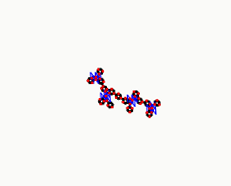 c1ccc(-c2nc(-n3c4ccccc4c4cc(-c5ccc6c(c5)n5c7ccccc7nc5n6-c5ccccc5)ccc43)nc3cc(-c4ccc(-c5ccc6c7cc(-c8ccc9c(c8)n8c%10ccccc%10nc8n9-c8ccccc8)ccc7n(-c7nc(-c8ccccc8)c8ccccc8n7)c6c5)cc4)ccc23)cc1